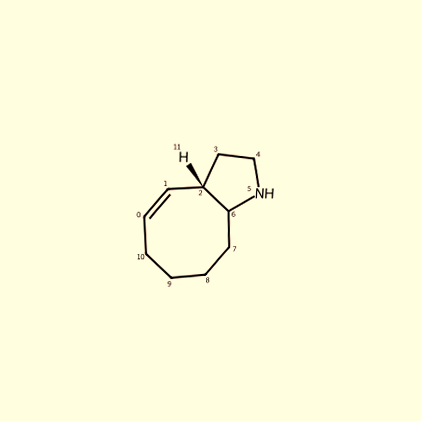 C1=C\[C@@H]2CCNC2CCCC/1